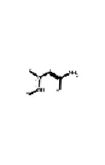 CNN(C)/C=C(\C)N